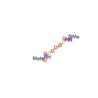 CNC(=O)CNC(=O)CSCCOCCOCCOCCSCC(=O)NCC(=O)NC